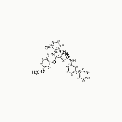 COc1ccc(CN(C(=O)c2cnc(Nc3cccc(-c4cccnc4)c3)s2)c2c(C)cccc2Cl)cc1